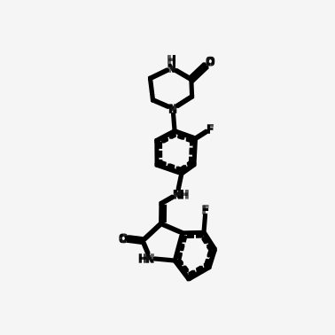 O=C1CN(c2ccc(N/C=C3/C(=O)Nc4cccc(F)c43)cc2F)CCN1